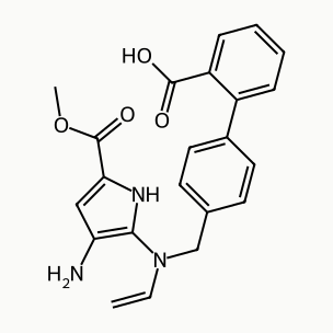 C=CN(Cc1ccc(-c2ccccc2C(=O)O)cc1)c1[nH]c(C(=O)OC)cc1N